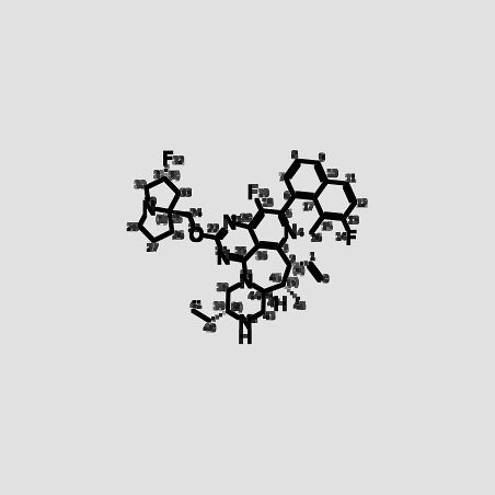 C=C[C@H]1c2nc(-c3cccc4ccc(F)c(C)c34)c(F)c3nc(OC[C@@]45CCCN4C[C@H](F)C5)nc(c23)N2C[C@@H](CC)NC[C@@H]2[C@H]1C